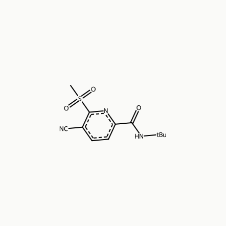 CC(C)(C)NC(=O)c1ccc(C#N)c(S(C)(=O)=O)n1